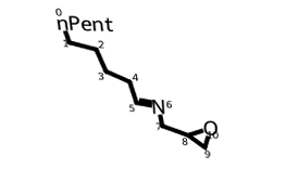 CCCCCCCCC/C=N/CC1CO1